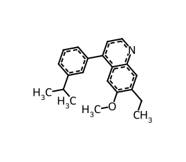 CCc1cc2nccc(-c3cccc(C(C)C)c3)c2cc1OC